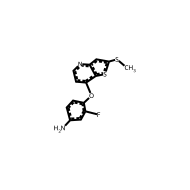 CSc1cc2nccc(Oc3ccc(N)cc3F)c2s1